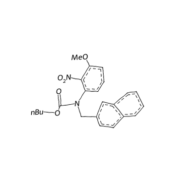 CCCCOC(=O)N(Cc1ccc2ccccc2c1)c1cccc(OC)c1[N+](=O)[O-]